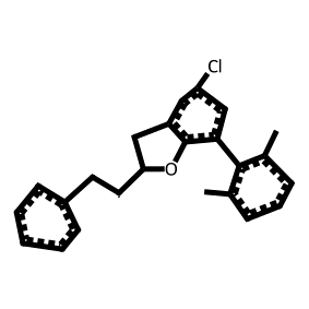 Cc1cccc(C)c1-c1cc(Cl)cc2c1OC([CH]Cc1ccccc1)C2